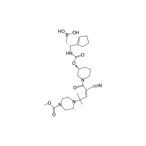 COC(=O)N1CCN(C(C)(C)C=C(C#N)C(=O)N2CCC[C@H](OC(=O)N[C@H](CB(O)O)C3=CCCC3)C2)CC1